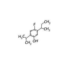 CCC(C)c1cc(O)c(C(C)C)cc1F